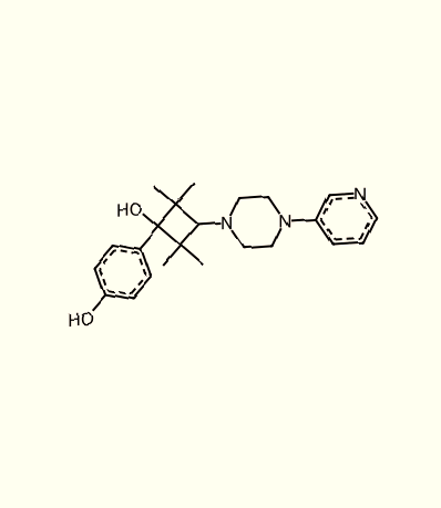 CC1(C)C(N2CCN(c3cccnc3)CC2)C(C)(C)C1(O)c1ccc(O)cc1